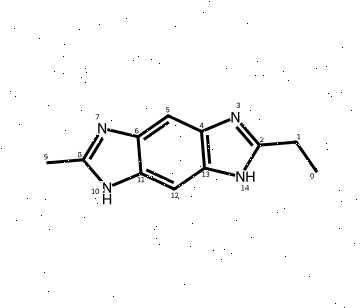 CCc1nc2cc3nc(C)[nH]c3cc2[nH]1